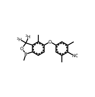 [2H]C1([2H])OB(C)c2ccc(Oc3cc(C)c([N+]#[C-])c(C)c3)c(C)c21